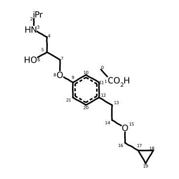 CC(=O)O.CC(C)NCC(O)COc1ccc(CCOCC2CC2)cc1